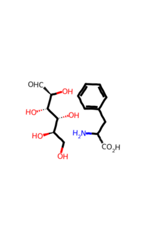 NC(Cc1ccccc1)C(=O)O.O=C[C@@H](O)[C@@H](O)[C@H](O)[C@H](O)CO